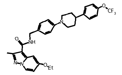 CCOc1ccn2nc(C)c(C(=O)NCc3ccc(N4CCC(c5ccc(OC(F)(F)F)cc5)CC4)cc3)c2c1